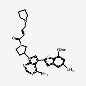 COc1cc(C)cc2cc(-c3cn(C4CCN(C(=O)/C=C/CN5CCCC5)C4)c4ncnc(N)c34)sc12